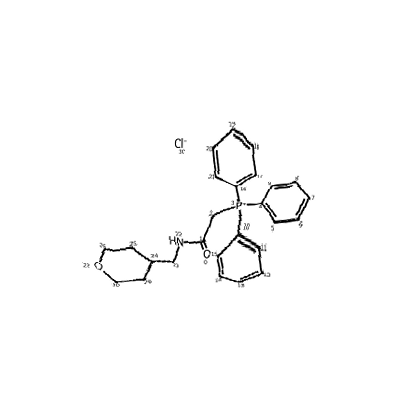 O=C(C[P+](c1ccccc1)(c1ccccc1)c1ccccc1)NCC1CCOCC1.[Cl-]